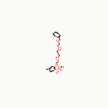 CCOS(=O)(=O)c1ccc(C)cc1OCCOCCOCCOCc1ccccc1